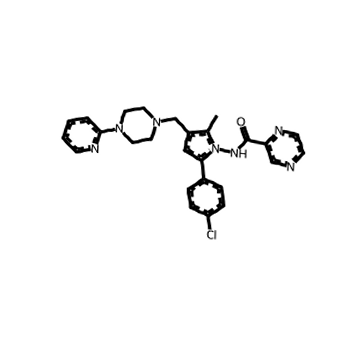 Cc1c(CN2CCN(c3ccccn3)CC2)cc(-c2ccc(Cl)cc2)n1NC(=O)c1cnccn1